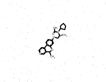 CC1Oc2cc(OC[C@H](C)N(C(=O)O)C3CCCC3)ccc2-c2ccncc21